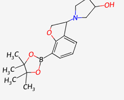 CC1(C)OB(c2cccc3c2OCC3N2CCC(O)C2)OC1(C)C